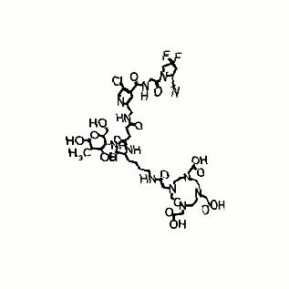 C[C@@H]1C(O)O[C@@H](CO)[C@H](NC(=O)C(CCCCNC(=O)CN2CCN(CC(=O)O)CCN(CC(=O)O)CCN(CC(=O)O)CC2)NC(=O)CCC(=O)NCc2cc(C(=O)NCC(=O)N3CC(F)(F)C[C@H]3C#N)c(Cl)cn2)[C@H]1O